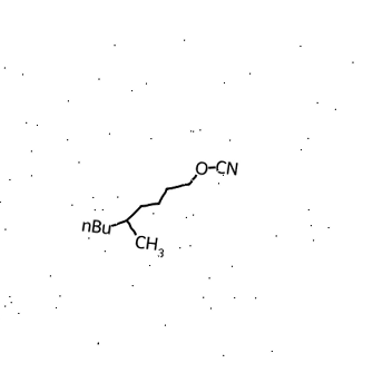 CCCCC(C)CCCCOC#N